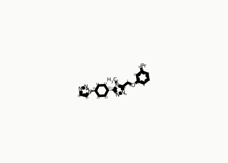 CC(C)c1cccc(OCc2nnc([C@H]3CC[C@H](n4ccnn4)CC3)n2C)c1